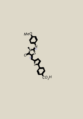 COc1ccc(/N=C2/S/C(=C\c3ccc(-c4ccc(C(=O)O)cc4)s3)C(=O)N2C)cc1